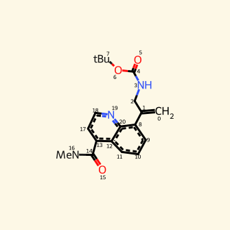 C=C(CNC(=O)OC(C)(C)C)c1cccc2c(C(=O)NC)ccnc12